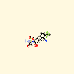 N#Cc1c(Cc2ccc(N3CC(=O)NS3(=O)=O)c(O)c2)cccc1C(F)(F)F